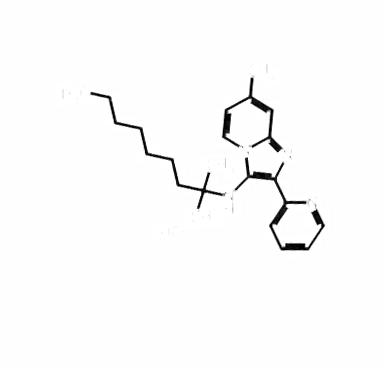 CCCCCCCC(C)(C)Nc1c(-c2ccccn2)nc2cc(C)ccn12.Cl